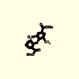 COC(=O)c1cc(C)c(Sc2ccccc2C(=O)OC)c([N+](=O)[O-])c1